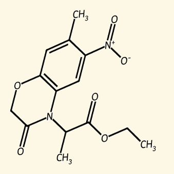 CCOC(=O)C(C)N1C(=O)COc2cc(C)c([N+](=O)[O-])cc21